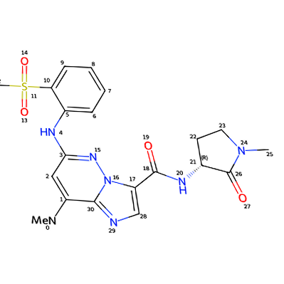 CNc1cc(Nc2ccccc2S(C)(=O)=O)nn2c(C(=O)N[C@@H]3CCN(C)C3=O)cnc12